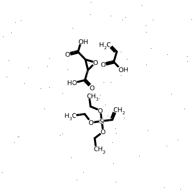 C=CC(=O)O.C=C[Si](OCC)(OCC)OCC.O=C(O)C1OC1C(=O)O